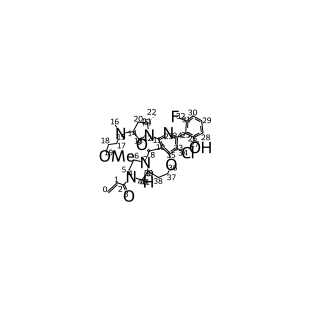 C=CC(=O)N1CCN2C(=O)c3c(N4CC(N(C)CCOC)C[C@@H]4C)nc(-c4c(O)cccc4F)c(Cl)c3OCC[C@H]2C1